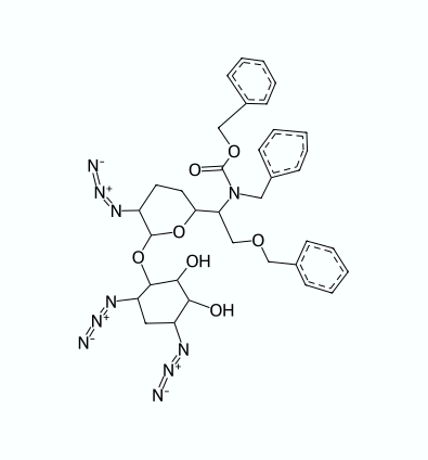 [N-]=[N+]=NC1CCC(C(COCc2ccccc2)N(Cc2ccccc2)C(=O)OCc2ccccc2)OC1OC1C(N=[N+]=[N-])CC(N=[N+]=[N-])C(O)C1O